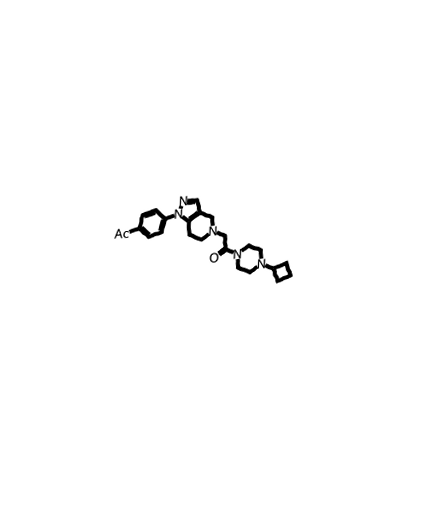 CC(=O)c1ccc(-n2ncc3c2CCN(CC(=O)N2CCN(C4CCC4)CC2)C3)cc1